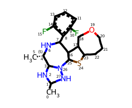 CC1NC2[C@H](C)NC(c3c(F)cccc3F)C3C4COCCCC4SC3N2N1